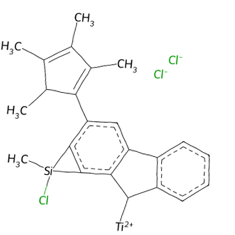 CC1=C(C)C(C)C(c2cc3c(c4c2[Si]4(C)Cl)[CH]([Ti+2])c2ccccc2-3)=C1C.[Cl-].[Cl-]